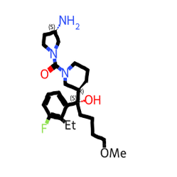 CCc1c(F)cccc1[C@](O)(CCCCOC)[C@@H]1CCCN(C(=O)N2CC[C@H](N)C2)C1